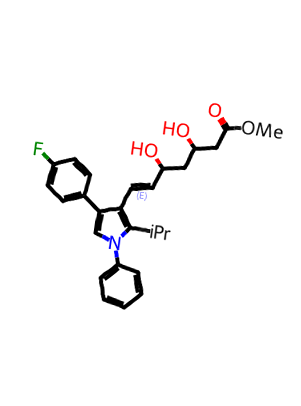 COC(=O)CC(O)CC(O)/C=C/c1c(-c2ccc(F)cc2)cn(-c2ccccc2)c1C(C)C